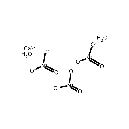 O.O.O=[N+]([O-])[O-].O=[N+]([O-])[O-].O=[N+]([O-])[O-].[Ga+3]